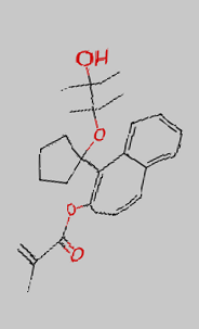 C=C(C)C(=O)Oc1ccc2ccccc2c1C1(OC(C)(C)C(C)(C)O)CCCC1